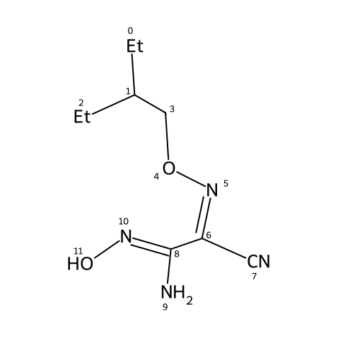 CCC(CC)CON=C(C#N)C(N)=NO